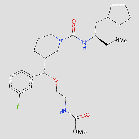 CNC[C@H](CC1CCCC1)NC(=O)N1CCC[C@@H](C(OCCNC(=O)OC)c2cccc(F)c2)C1